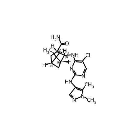 Cc1c(Nc2ncc(Cl)c(N[C@H]3[C@@H](C(N)=O)C[C@H]4C[C@@H]3C4(C)C)n2)cnn1C